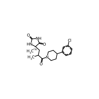 CC(C[C@@]1(C)NC(=O)NC1=O)C(=O)N1CCC(c2cccc(Cl)c2)CC1